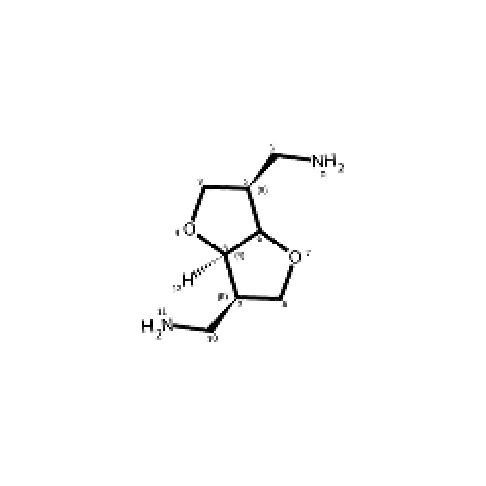 NC[C@@H]1CO[C@H]2C1OC[C@H]2CN